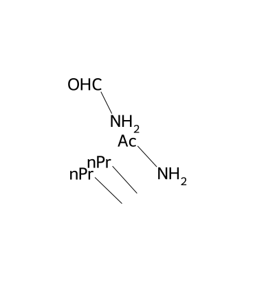 CC(N)=O.CCCC.CCCC.NC=O